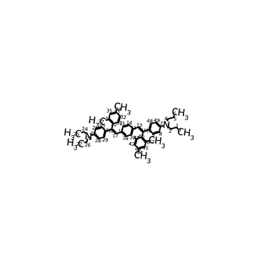 CCCN(CCC)c1ccc(C(=Cc2ccc(C=C(c3ccc(N(CC)CC)cc3)c3ccc(C)cc3C)cc2)c2ccc(C)cc2C)cc1